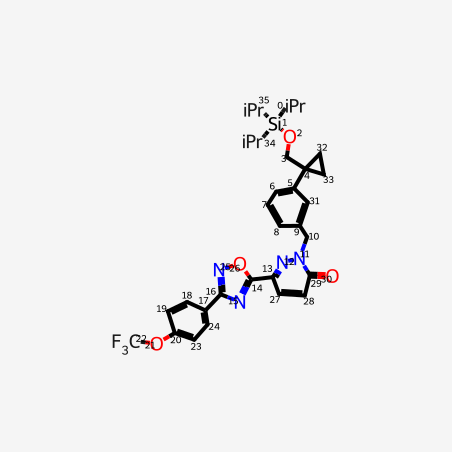 CC(C)[Si](OCC1(c2cccc(Cn3nc(-c4nc(-c5ccc(OC(F)(F)F)cc5)no4)ccc3=O)c2)CC1)(C(C)C)C(C)C